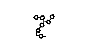 Cc1ccc(/C=C\c2ccc(-c3ccc(N(c4cccc(-c5ccccc5)c4)c4cccc(-c5ccccc5)c4)cc3)cc2)cc1